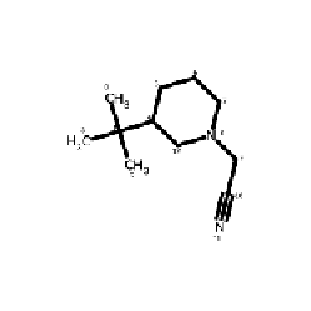 CC(C)(C)C1CCCN(CC#N)C1